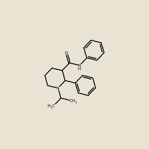 CC(C)N1CCCC(C(=O)Nc2ccccc2)C1c1ccccc1